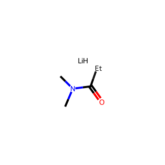 CCC(=O)N(C)C.[LiH]